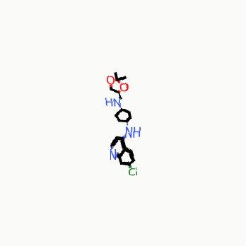 CC1(C)OC[C@H](CN[C@H]2CC[C@@H](Nc3ccnc4cc(Cl)ccc34)CC2)O1